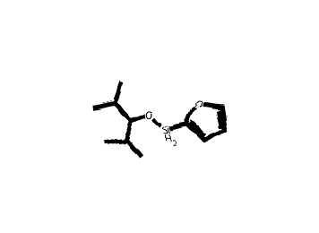 CC(C)C(O[SiH2]c1ccco1)C(C)C